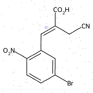 N#CC/C(=C\c1cc(Br)ccc1[N+](=O)[O-])C(=O)O